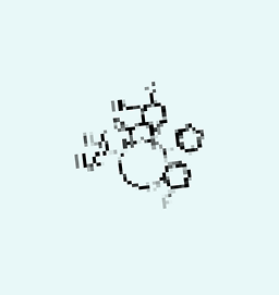 CC(C)[C@H]1CCCOc2c(F)cccc2[C@@H](c2ccccc2)N2CN1C(=O)c1c(O)c(=O)ccn12